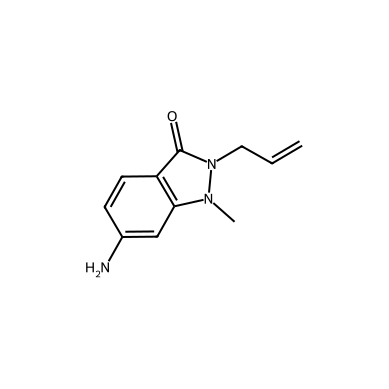 C=CCn1c(=O)c2ccc(N)cc2n1C